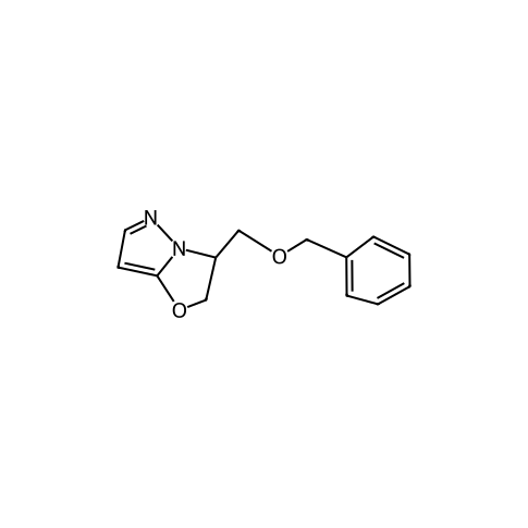 c1ccc(COCC2COc3ccnn32)cc1